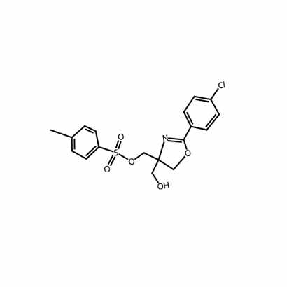 Cc1ccc(S(=O)(=O)OCC2(CO)COC(c3ccc(Cl)cc3)=N2)cc1